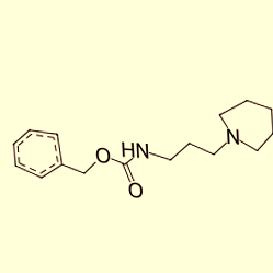 O=C(NCCCN1CCCCC1)OCc1ccccc1